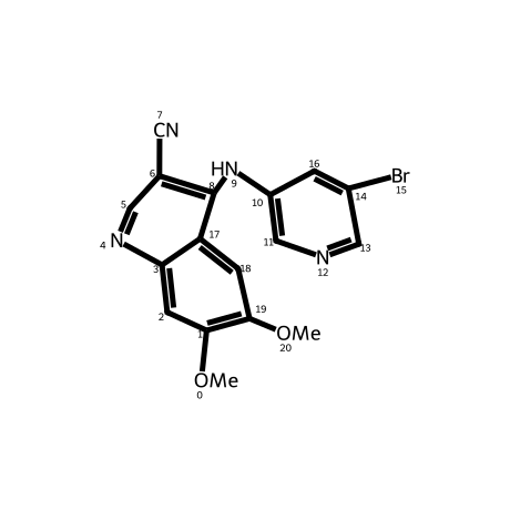 COc1cc2ncc(C#N)c(Nc3cncc(Br)c3)c2cc1OC